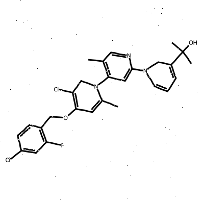 CC1=CC(OCc2ccc(Cl)cc2F)=C(Cl)CN1c1cc(N2C=CC=C(C(C)(C)O)C2)ncc1C